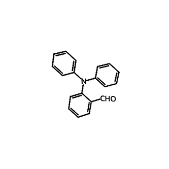 O=Cc1ccccc1N(c1ccccc1)c1ccccc1